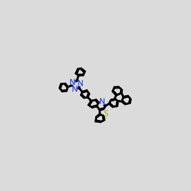 c1ccc(-c2nc(-c3ccccc3)nc(-c3ccc(-c4ccc5c(c4)nc(-c4ccc6c7ccccc7c7ccccc7c6c4)c4sc6ccccc6c45)cc3)n2)cc1